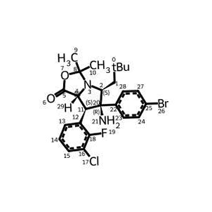 CC(C)(C)C[C@@H]1N2[C@@H](C(=O)OC2(C)C)[C@H](c2cccc(Cl)c2F)[C@@]1(N)c1ccc(Br)cc1